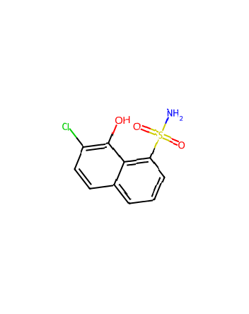 NS(=O)(=O)c1cccc2ccc(Cl)c(O)c12